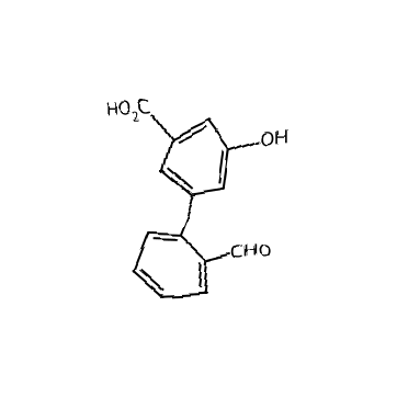 O=Cc1ccccc1-c1cc(O)cc(C(=O)O)c1